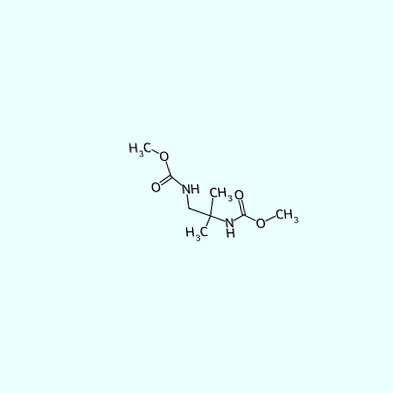 COC(=O)NCC(C)(C)NC(=O)OC